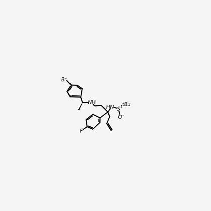 C=CCC(CCN[C@@H](C)c1ccc(Br)cc1)(N[S+]([O-])C(C)(C)C)c1ccc(F)cc1